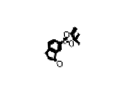 C=C1OB(c2ccc3c(c2)C(=O)CC3)OC1(C)C